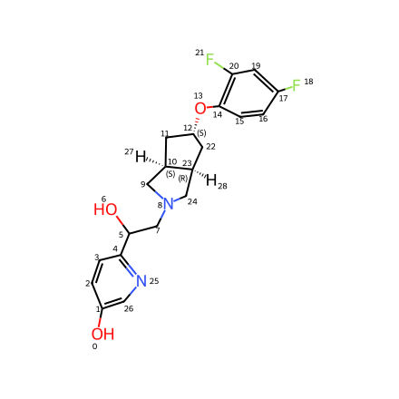 Oc1ccc(C(O)CN2C[C@H]3C[C@H](Oc4ccc(F)cc4F)C[C@H]3C2)nc1